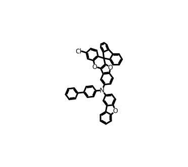 Clc1ccc2c(c1)Oc1c(oc3ccc(N(c4ccc(-c5ccccc5)cc4)c4ccc5oc6ccccc6c5c4)cc13)C21c2ccccc2-c2ccccc21